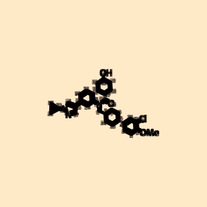 COc1ccc([C@H]2CC[C@H](CN(c3cccc(-c4cnn(C5CC5)c4)c3)C(=O)[C@H]3CC[C@H](O)CC3)CC2)cc1Cl